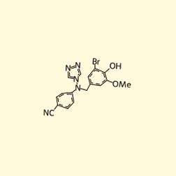 COc1cc(CN(c2ccc(C#N)cc2)n2cnnc2)cc(Br)c1O